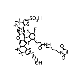 CN1c2cc3c(cc2-c2sc(SOOO)cc2C1(C)C)C(c1c(F)c(SCC(=O)NCCCCCN2C(=O)C=CC2=O)cc(F)c1S(=O)(=O)O)=c1cc2c(cc1O3)=[N+](C)C(C)(C)c1cc(S(=O)(=O)O)sc1-2